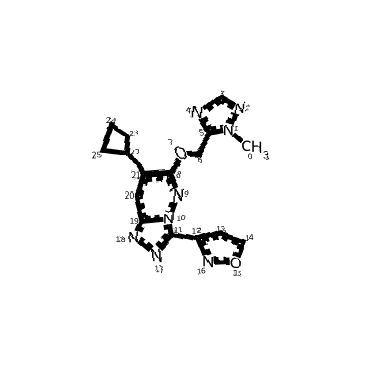 Cn1ncnc1COc1nn2c(-c3ccon3)nnc2cc1C1CCC1